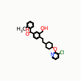 Cc1ccccc1C(O)c1ccc(CCC2CCC(Oc3ncccc3Cl)CC2)c(CO)c1